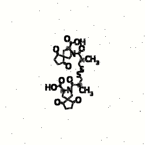 C[C@H](CSSC[C@@H](C)C(=O)N1CC2(C[C@H]1C(=O)O)C(=O)CCC2=O)C(=O)N1CC2(C[C@H]1C(=O)O)C(=O)CCC2=O